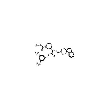 CC(C)(C)OC(=O)N1CCCC([C@H](CCN2CCC3(C=Cc4ccccc43)CC2)C(=O)CCc2cc(C(F)(F)F)cc(C(F)(F)F)c2)C1